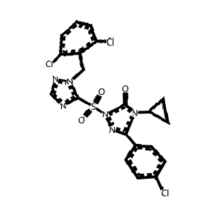 O=c1n(S(=O)(=O)c2ncnn2Cc2c(Cl)cccc2Cl)nc(-c2ccc(Cl)cc2)n1C1CC1